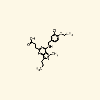 CCCc1nn(C)c2c(NCc3ccc(OCC)c(Cl)c3)nc(CCC(=O)O)nc12